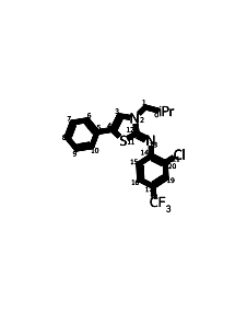 CC(C)Cn1cc(-c2ccccc2)sc1=Nc1ccc(C(F)(F)F)cc1Cl